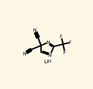 N#CC1(C#N)C=NC(C(F)(F)F)=N1.[LiH]